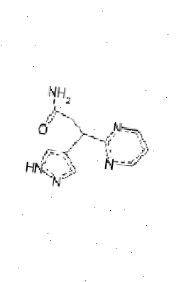 NC(=O)CC(c1cn[nH]c1)c1ncccn1